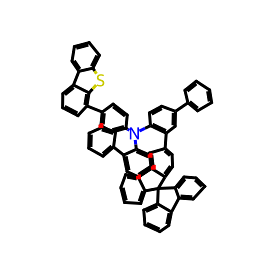 c1ccc(-c2ccc(N(c3ccc(-c4cccc5c4sc4ccccc45)cc3)c3ccccc3-c3ccccc3)c(-c3ccc4c(c3)-c3ccccc3C43c4ccccc4-c4ccccc43)c2)cc1